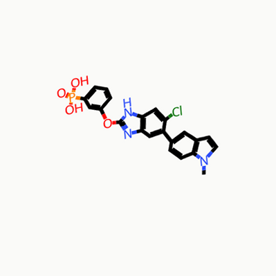 Cn1ccc2cc(-c3cc4nc(Oc5cccc(P(=O)(O)O)c5)[nH]c4cc3Cl)ccc21